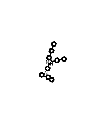 c1ccc(-c2ccc(-c3ccc4nc(-c5ccc(-n6c7ccccc7c7cc8ccccc8cc76)cc5)nc(-c5ccc(-c6ccccc6)cc5)c4c3)cc2)cc1